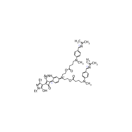 CCc1nn(CC)c(O)c1C1=C([O-])/C(=C2/C=CC(=[N+](CCOC(=O)CCCN(C)c3ccc(/C=N/N(C)C)cc3)CCOC(=O)CCCN(C)c3ccc(/C=N/N(C)C)cc3)C=C2NC(C)=O)C1=O